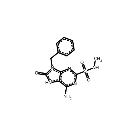 CNS(=O)(=O)c1nc(N)c2[nH]c(=O)n(Cc3ccccc3)c2n1